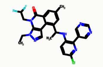 CCn1ncc2c3c(C(C)Nc4ccc(Cl)nc4-c4cncnc4)cc(C)cc3c(=O)n(CC(F)F)c21